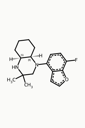 CC1(C)CN(c2ccc(F)c3occc23)[C@@H]2CCCC[C@@H]2N1